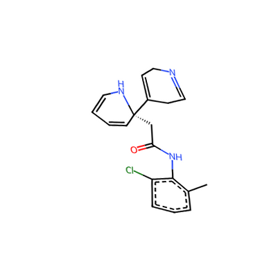 Cc1cccc(Cl)c1NC(=O)C[C@]1(C2=CCN=CC2)C=CC=CN1